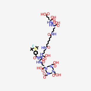 CC(C)(C)[C@H](F)[S+](c1ccc(C(=O)NC[C@@H](NC(=O)CC[C@@H](C(=O)O)N2CCN(CC(=O)[O-])CCN(CC(=O)O)CCN(CC(=O)O)CC2)C(=O)N[C@H](CCCCNC(=O)CCCCCCC(=O)NCCCC[C@H](NC(=O)N[C@@H](CCCC(=O)O)C(=O)O)C(=O)O)C(=O)O)cc1)C(C)(C)C